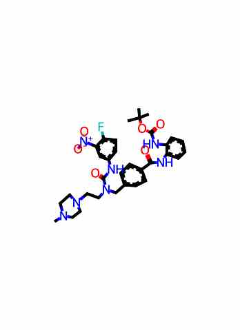 CN1CCN(CCN(Cc2ccc(C(=O)Nc3ccccc3NC(=O)OC(C)(C)C)cc2)C(=O)Nc2ccc(F)c([N+](=O)[O-])c2)CC1